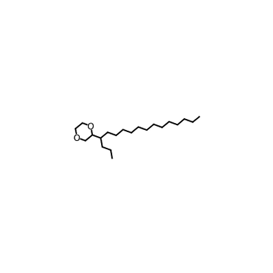 CCCCCCCCCCCCCC(CCC)C1COCCO1